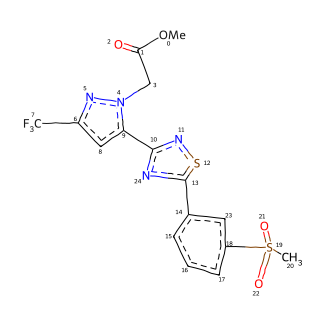 COC(=O)Cn1nc(C(F)(F)F)cc1-c1nsc(-c2cccc(S(C)(=O)=O)c2)n1